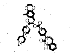 Cc1cc(C[C@@H](OC(=O)N2CCC(N3CCc4ccccc4NC3=O)CC2)C(=O)N2CCN(C3CCN(C)CC3)CC2)cc2c1OCCO2